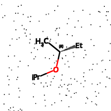 CC[C@@H](C)OC(C)C